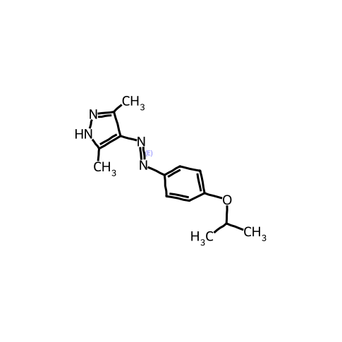 Cc1n[nH]c(C)c1/N=N/c1ccc(OC(C)C)cc1